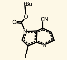 CC(C)(C)OC(=O)n1cc(I)c2nccc(C#N)c21